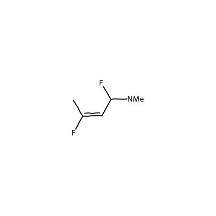 CNC(F)/C=C(\C)F